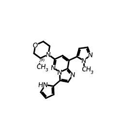 C[C@@H]1COCCN1c1cc(-c2ccnn2C)c2ncc(-c3ccc[nH]3)n2n1